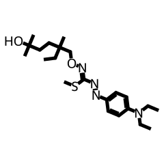 CCN(CC)c1ccc(/N=N/C(=N/OCC(C)(CC)CCC(C)(C)O)SC)cc1